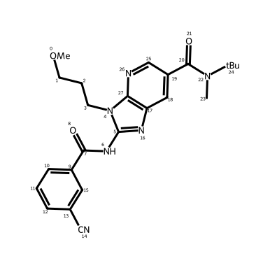 COCCCn1c(NC(=O)c2cccc(C#N)c2)nc2cc(C(=O)N(C)C(C)(C)C)cnc21